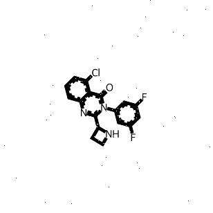 O=c1c2c(Cl)cccc2nc(C2CCN2)n1-c1cc(F)cc(F)c1